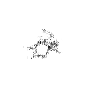 CC(=O)N[C@@H](CCC(=O)N(c1cccc(S(N)(=O)=O)c1)c1nccc(N(C)c2ccc3c(C)n(C)nc3c2)n1)C(=O)N[C@H](C(=O)N[C@@H](CCNC(=O)OC(C)(C)C)C(=O)N[C@H]1CCNC(=O)[C@H]([C@@H](C)O)NC(=O)[C@H](CCNC(=O)OC(C)(C)C)NC(=O)[C@H](CCNC(=O)OC(C)(C)C)NC(=O)[C@H](CC(C)C)NC(=O)[C@@H](CCc2ccccc2)NC(=O)[C@H](CCNC(=O)OC(C)(C)C)NC1=O)[C@@H](C)O